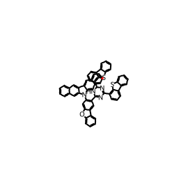 c1ccc2cc3c(cc2c1)c1cc2ccccc2cc1n3-c1cc2oc3ccccc3c2cc1C1=NC(c2cccc3c2sc2ccccc23)=NC(c2cccc3c2sc2ccccc23)N1